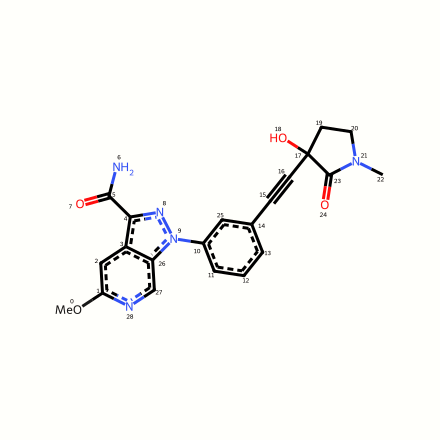 COc1cc2c(C(N)=O)nn(-c3cccc(C#CC4(O)CCN(C)C4=O)c3)c2cn1